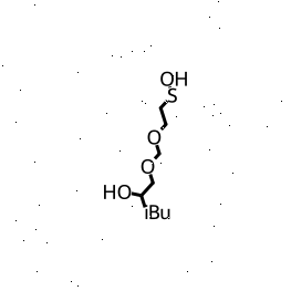 CCC(C)C(O)COCOCCSO